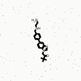 CC(C)(C)C(=O)Cn1cnc2cc(-c3ccc(CNCCN)cc3)ccc21